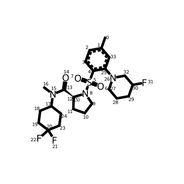 Cc1ccc(S(=O)(=O)N2CCC[C@H]2C(=O)N(C)C2CCC(F)(F)CC2)c(N2CCCC(F)C2)c1